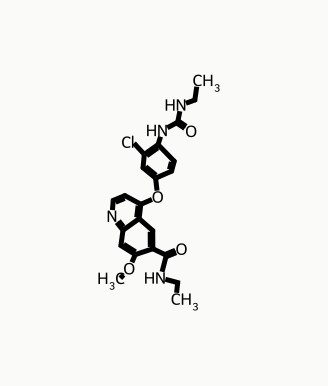 CCNC(=O)Nc1ccc(Oc2ccnc3cc(OC)c(C(=O)NCC)cc23)cc1Cl